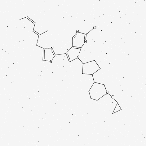 C/C=C\C=C(/C)Cc1csc(-c2cn(C3CCC(C4CCCN(CC5CC5)C4)C3)c3nc(Cl)ncc23)n1